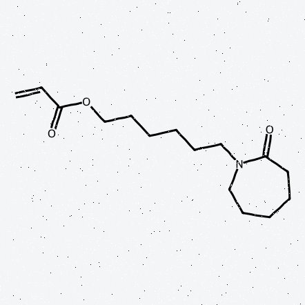 C=CC(=O)OCCCCCCN1CCCCCC1=O